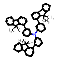 CC1(C)c2ccccc2-c2cccc(-c3cccc(N(c4cccc(-c5cccc6c5C(C)(C)c5ccccc5-6)c4)c4cccc(-c5cccc6c5C(C)(C)c5ccccc5-6)c4)c3)c21